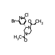 C=CC(=O)N1CCN(C(C)=O)C[C@@H]1c1cc(Cl)nc(Br)c1